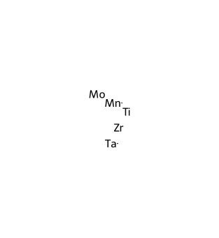 [Mn].[Mo].[Ta].[Ti].[Zr]